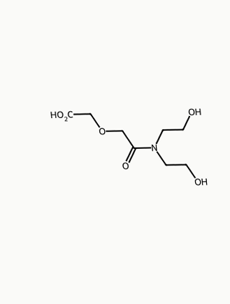 O=C(O)COCC(=O)N(CCO)CCO